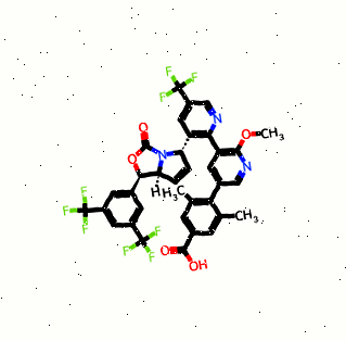 COc1ncc(-c2c(C)cc(C(=O)O)cc2C)cc1-c1ncc(C(F)(F)F)cc1[C@@H]1C=C[C@H]2[C@@H](c3cc(C(F)(F)F)cc(C(F)(F)F)c3)OC(=O)N12